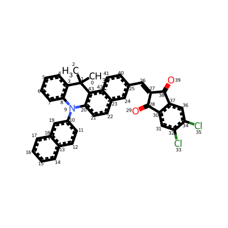 CC1(C)c2ccccc2N(c2ccc3ccccc3c2)c2ccc3cc(C=C4C(=O)c5cc(Cl)c(Cl)cc5C4=O)ccc3c21